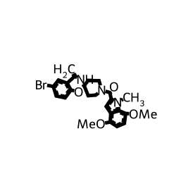 C=C1NC2(CCN(C(=O)c3cc4c(OC)ccc(OC)c4n3C)CC2)Oc2ccc(Br)cc21